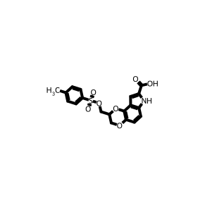 Cc1ccc(S(=O)(=O)OCC2COc3ccc4[nH]c(C(=O)O)cc4c3O2)cc1